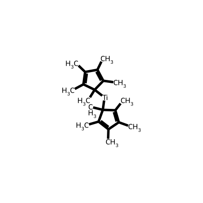 CC1=C(C)[C](C)([Ti][C]2(C)C(C)=C(C)C(C)=C2C)C(C)=C1C